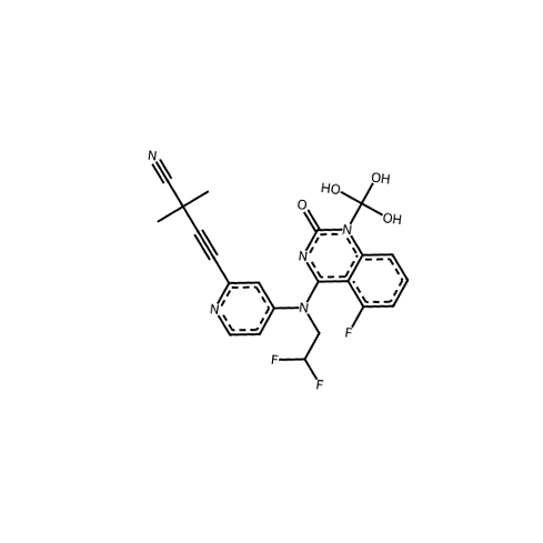 CC(C)(C#N)C#Cc1cc(N(CC(F)F)c2nc(=O)n(C(O)(O)O)c3cccc(F)c23)ccn1